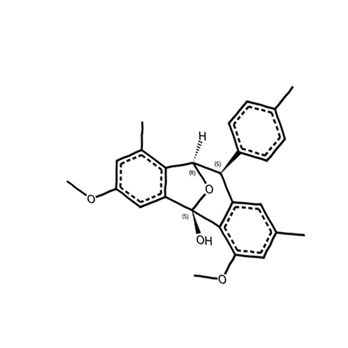 COc1cc(C)c2c(c1)[C@]1(O)O[C@@H]2[C@@H](c2ccc(C)cc2)c2cc(C)cc(OC)c21